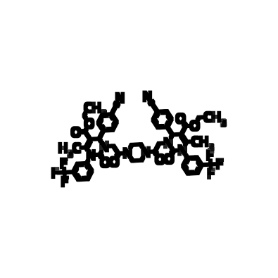 CCOC(=O)C1=C(C)N(c2cccc(C(F)(F)F)c2)C(=O)N(CC(=O)N2CCN(C(=O)CN3C(=O)N(c4cccc(C(F)(F)F)c4)C(C)=C(C(=O)OCC)C3c3ccc(C#N)cc3)CC2)C1c1ccc(C#N)cc1